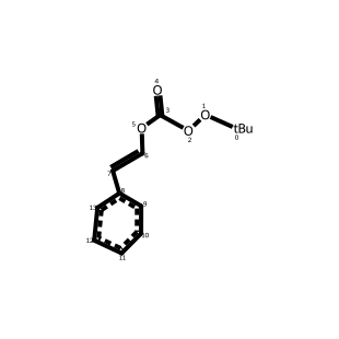 CC(C)(C)OOC(=O)OC=Cc1ccccc1